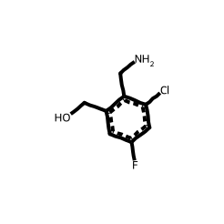 NCc1c(Cl)cc(F)cc1CO